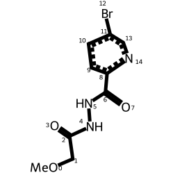 COCC(=O)NNC(=O)c1ccc(Br)cn1